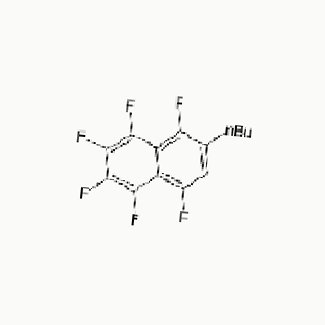 [CH2][CH]CCc1cc(F)c2c(F)c(F)c(F)c(F)c2c1F